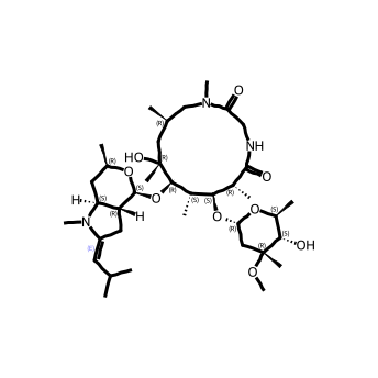 CO[C@]1(C)C[C@H](O[C@H]2[C@H](C)[C@@H](O[C@@H]3O[C@H](C)C[C@H]4[C@H]3C/C(=C\C(C)C)N4C)[C@](C)(O)C[C@@H](C)CN(C)C(=O)CNC(=O)[C@@H]2C)O[C@@H](C)[C@@H]1O